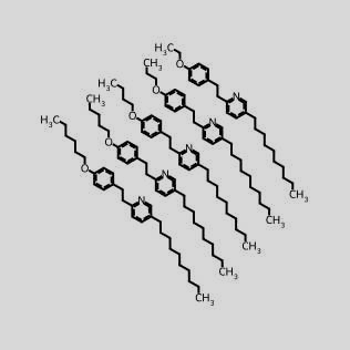 CCCCCCCCCCc1ccc(CCc2ccc(OCC)cc2)nc1.CCCCCCCCCCc1ccc(CCc2ccc(OCCC)cc2)nc1.CCCCCCCCCCc1ccc(CCc2ccc(OCCCC)cc2)nc1.CCCCCCCCCCc1ccc(CCc2ccc(OCCCCC)cc2)nc1.CCCCCCCCCCc1ccc(CCc2ccc(OCCCCCC)cc2)nc1